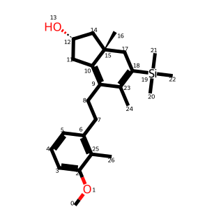 COc1cccc(CCC2=C3C[C@H](O)C[C@]3(C)CC([Si](C)(C)C)=C2C)c1C